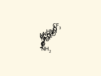 C=C(N)C12CCC(c3nc(-c4ccc(C(=O)Nc5cc(C(F)(F)F)ccn5)cc4F)c4c(N)nccn34)(CC1)CC2